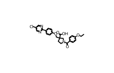 CCOc1ccc(C(=O)N2CCC(COc3ccc(-c4ncc(Cl)cn4)cc3)(C(=O)O)C2)cc1